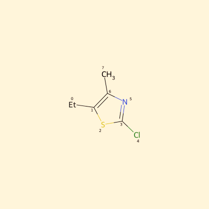 CCc1sc(Cl)nc1C